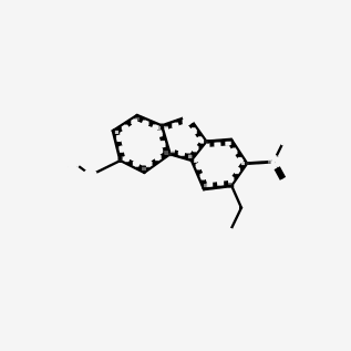 COc1ccc2oc3cc([N+](=O)[O-])c(CO)cc3c2c1